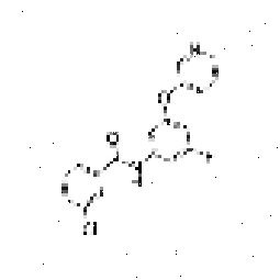 O=C(Nc1cc(F)cc(Oc2cccnc2)c1)c1cccc(Cl)c1